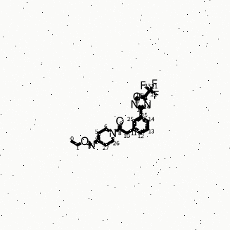 CCON=C1CCN(C(=O)Cc2cccc(-c3noc(C(F)(F)F)n3)c2)CC1